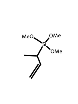 C=CC(C)[Si](OC)(OC)OC